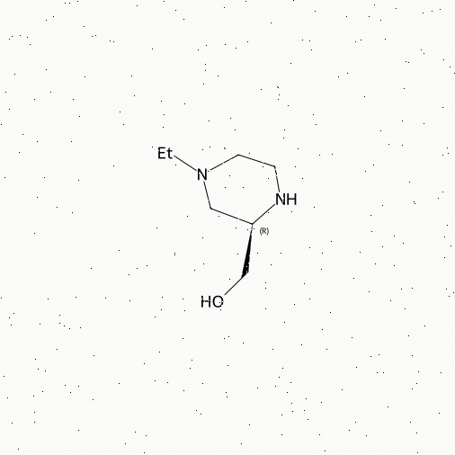 CCN1CCN[C@@H](CO)C1